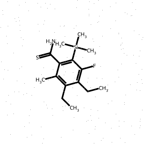 CCc1c(C)c(C(N)=S)c([Si](C)(C)C)c(F)c1CC